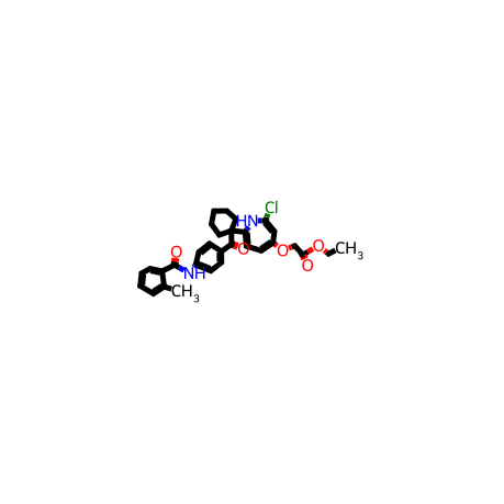 CCOC(=O)COC1=CC=C(C2(C(=O)c3ccc(NC(=O)c4ccccc4C)cc3)CCCCC2)NC(Cl)=C1